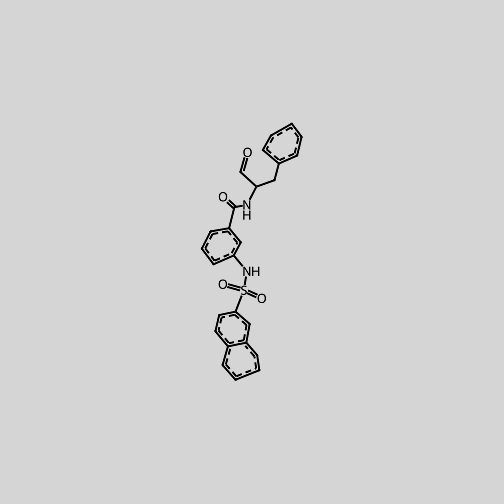 O=CC(Cc1ccccc1)NC(=O)c1cccc(NS(=O)(=O)c2ccc3ccccc3c2)c1